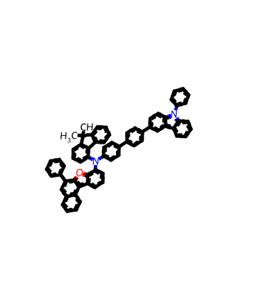 CC1(C)c2ccccc2-c2c(N(c3ccc(-c4ccc(-c5ccc6c(c5)c5ccccc5n6-c5ccccc5)cc4)cc3)c3cccc4c3oc3c(-c5ccccc5)cc5ccccc5c34)cccc21